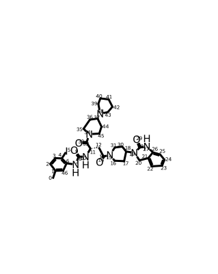 Cc1ccc(I)c(NC(=O)N[C@@H](CC(=O)N2CCC(N3Cc4ccccc4NC3=O)CC2)C(=O)N2CCC(N3CCCCC3)CC2)c1